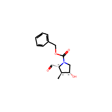 C[C@@H]1[C@@H](O)CN(C(=O)OCc2ccccc2)[C@H]1C=O